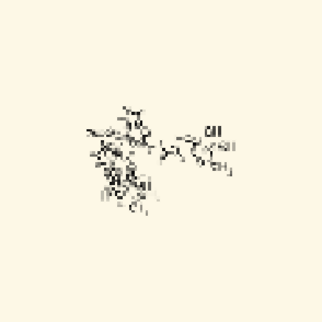 CC1O[C@H](COC(=O)CCC(=O)O/C(=C2/OC(=O)C3=C2C2CO[C@]4(C)[C@H](O)[C@@]5(C(C)C)C[C@H]5[C@@H]5O[C@@]54[C@@]2(C)CC3)c2ccco2)[C@@H](O)[C@H](O)[C@@H]1O